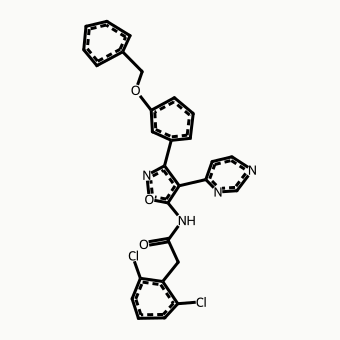 O=C(Cc1c(Cl)cccc1Cl)Nc1onc(-c2cccc(OCc3ccccc3)c2)c1-c1ccncn1